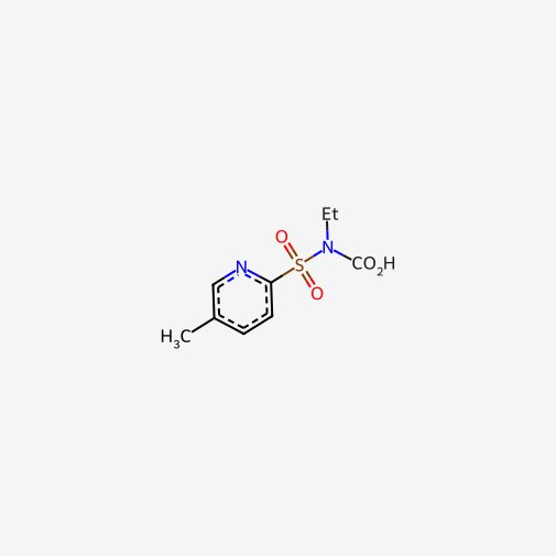 CCN(C(=O)O)S(=O)(=O)c1ccc(C)cn1